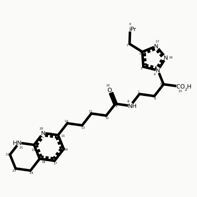 CC(C)Cc1cn(C(CCNC(=O)CCCCc2ccc3c(n2)NCCC3)C(=O)O)nn1